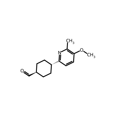 COc1ccc([C@H]2CC[C@H](C=O)CC2)nc1C